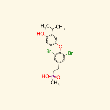 CC(C)c1cc(Oc2c(Br)cc(CCP(C)(=O)O)cc2Br)ccc1O